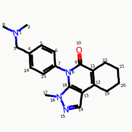 CN(C)Cc1ccc(-n2c(=O)c3c(c4cnn(C)c42)CCCC3)cc1